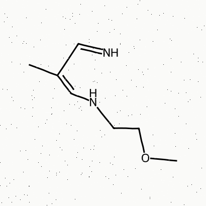 COCCN/C=C(/C)C=N